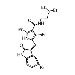 CCN(CC)CCNC(=O)c1c(C(C)C)[nH]c(/C=C2\C(=O)Nc3ccc(Br)cc32)c1C(C)C